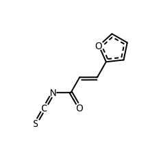 O=C(C=Cc1ccco1)N=C=S